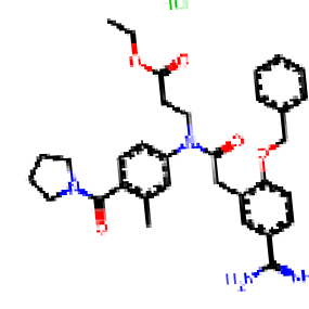 CCOC(=O)CCN(C(=O)Cc1cc(C(=N)N)ccc1OCc1ccccc1)c1ccc(C(=O)N2CCCC2)c(C)c1.Cl